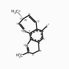 CC1=Nc2c(cc(I)c3c2N=C[C@H](C)C=C3)CC1